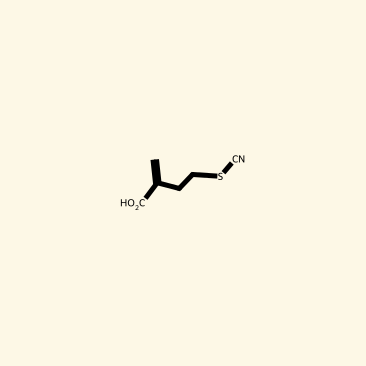 C=C(CCSC#N)C(=O)O